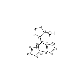 O[C@@H]1CCC[C@@H]1C1c2sccc2-c2cncn21